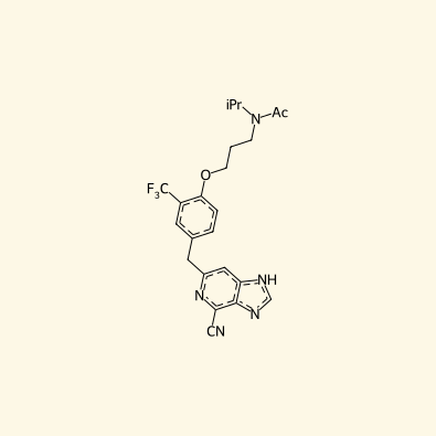 CC(=O)N(CCCOc1ccc(Cc2cc3[nH]cnc3c(C#N)n2)cc1C(F)(F)F)C(C)C